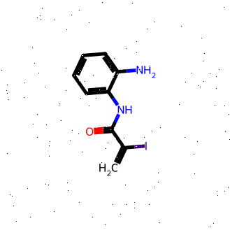 C=C(I)C(=O)Nc1ccccc1N